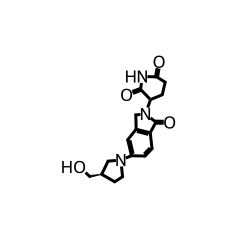 O=C1CCC(N2Cc3cc(N4CC[C@@H](CO)C4)ccc3C2=O)C(=O)N1